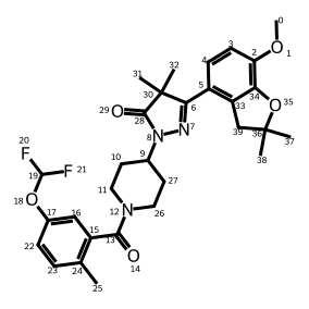 COc1ccc(C2=NN(C3CCN(C(=O)c4cc(OC(F)F)ccc4C)CC3)C(=O)C2(C)C)c2c1OC(C)(C)C2